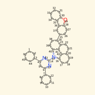 c1ccc(-c2cc(-c3ccccc3)nc(-n3c4cccc5ccc6c(-c7ccc8oc9ccccc9c8c7)ccc3c6c54)n2)cc1